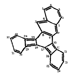 [c]1c2ccccc2cc2c1c1c3ccccc3c1c1c3ccccc3c21